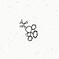 CN(C)C(=S)NN1CC(=O)C(c2ccccc2)(c2ccccc2)c2ccccc2C1